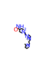 CC1CCCN1CCCN1[C]N(CCN2CCC(C(N)=O)CC2)CC1